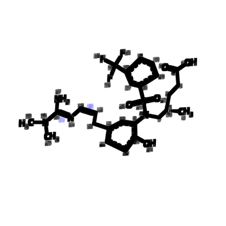 C[C@@H](CCC(=O)O)CN(c1cc(C/C=C\N=C(/N)N(C)C)ccc1O)S(=O)(=O)c1cccc(C(F)(F)F)c1